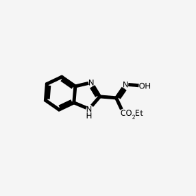 CCOC(=O)C(=NO)c1nc2ccccc2[nH]1